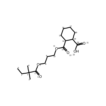 CCC(C)(C)C(=O)OCCCOC(=O)C1CCCCC1C(=O)O